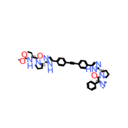 CC[C@H](NC(=O)OC)C(=O)N1CCC[C@H]1c1ncc(-c2ccc(C#Cc3ccc(-c4cnc([C@@H]5CCCN5C(=O)[C@@H](c5ccccc5)N(C)C)[nH]4)cc3)cc2)[nH]1